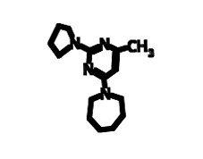 Cc1cc(N2CCCCCC2)nc(N2CCCC2)n1